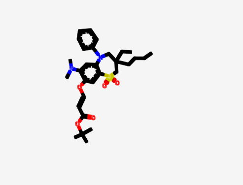 CCCCC1(CC)CN(c2ccccc2)c2cc(N(C)C)c(O/C=C/C(=O)OC(C)(C)C)cc2S(=O)(=O)C1